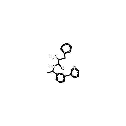 CC(NC(=O)[C@@H](N)Cc1ccccc1)c1cccc(-c2cccnc2)c1